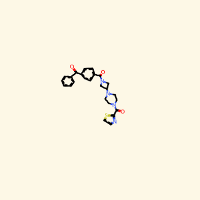 O=C(c1ccccc1)c1ccc(C(=O)N2CC(N3CCN(C(=O)c4nccs4)CC3)C2)cc1